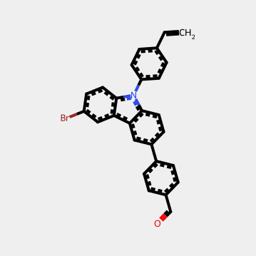 C=Cc1ccc(-n2c3ccc(Br)cc3c3cc(-c4ccc(C=O)cc4)ccc32)cc1